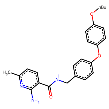 CCCCOc1ccc(Oc2ccc(CNC(=O)c3ccc(C)nc3N)cc2)cc1